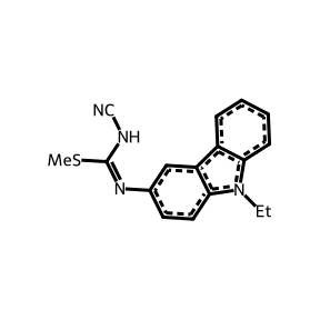 CCn1c2ccccc2c2cc(N=C(NC#N)SC)ccc21